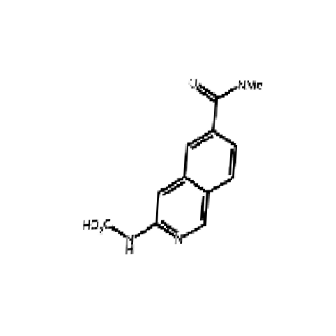 CNC(=O)c1ccc2cnc(NC(=O)O)cc2c1